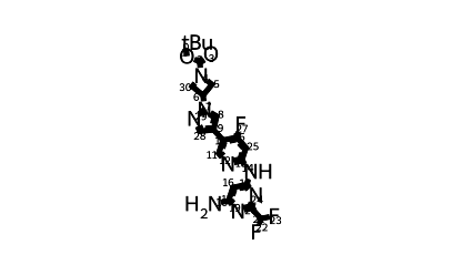 CC(C)(C)OC(=O)N1CC(n2cc(-c3cnc(Nc4cc(N)nc(C(F)F)n4)cc3F)cn2)C1